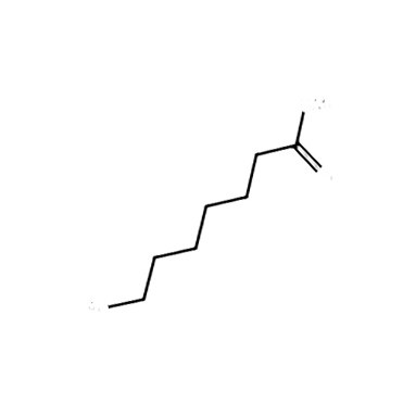 COC(=O)CCCCCCC(C)=O